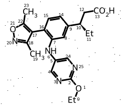 CCOc1ncc(Nc2cc([C@H](CC)CC(=O)O)ccc2-c2c(C)noc2C)cn1